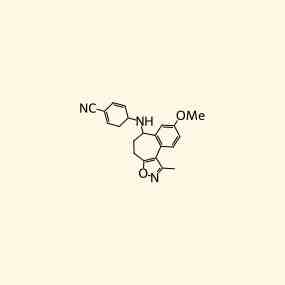 COc1ccc2c(c1)C(NC1C=CC(C#N)=CC1)CCc1onc(C)c1-2